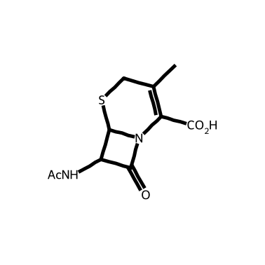 CC(=O)NC1C(=O)N2C(C(=O)O)=C(C)CSC12